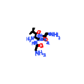 C=C(C)C(=O)C(N)C(N)(NC(=O)CN)NC(=O)CN